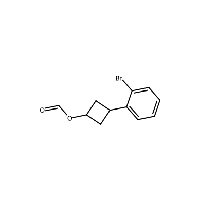 O=COC1CC(c2ccccc2Br)C1